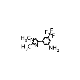 Cc1nc(-c2cc(N)cc(C(F)(F)F)c2)cn1C